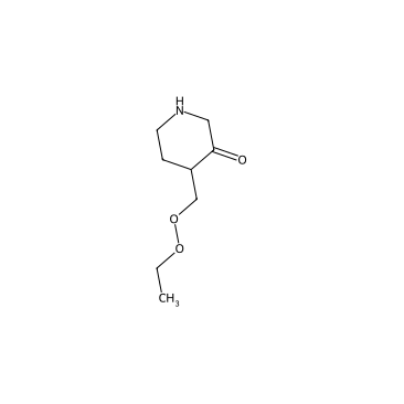 CCOOCC1CCNCC1=O